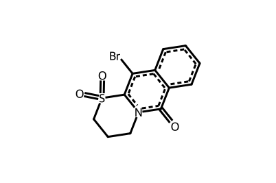 O=c1c2ccccc2c(Br)c2n1CCCS2(=O)=O